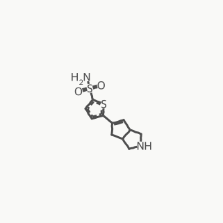 NS(=O)(=O)c1ccc(C2=CC3CNCC3C2)s1